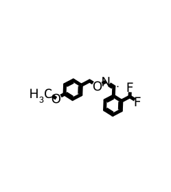 COc1ccc(CO/N=[C]\c2ccccc2C(F)F)cc1